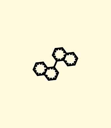 c1ccc2c(-c3cccc4ccccc34)cccc2c1